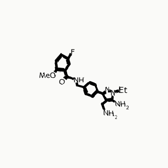 CCn1nc(-c2ccc(CNC(=O)c3cc(F)ccc3OC)cc2)c(CN)c1N